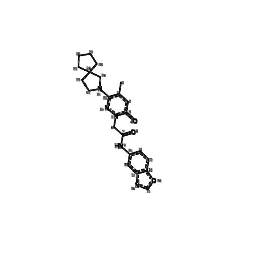 Cc1cc(=O)n(CC(=O)Nc2ccc3ocnc3c2)nc1N1CCC2(CCCC2)C1